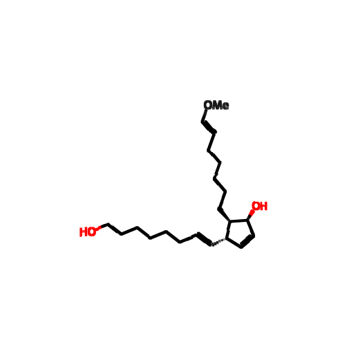 COC=CCCCCC[C@@H]1[C@@H](C=CCCCCCCO)C=C[C@@H]1O